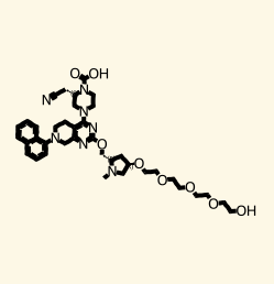 CN1C[C@H](OCCOCCOCCOCCO)C[C@H]1COc1nc2c(c(N3CCN(C(=O)O)[C@@H](CC#N)C3)n1)CCN(c1cccc3ccccc13)C2